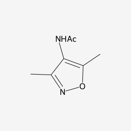 CC(=O)Nc1c(C)noc1C